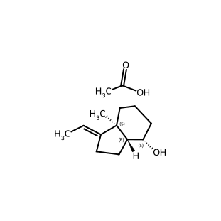 CC(=O)O.CC=C1CC[C@H]2[C@@H](O)CCC[C@]12C